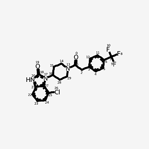 O=C(Cc1ccc(C(F)(F)F)cc1)N1CCC(n2c(=O)[nH]c3cccc(Cl)c32)CC1